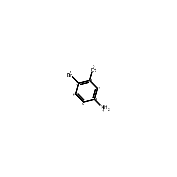 CCc1cc(N)ccc1Br